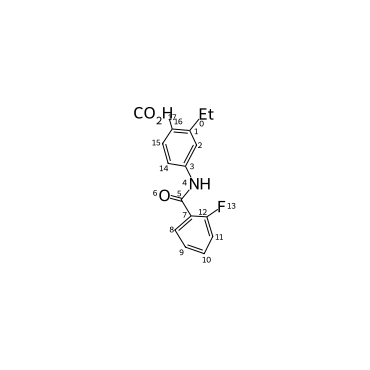 CCc1cc(NC(=O)c2ccccc2F)ccc1C(=O)O